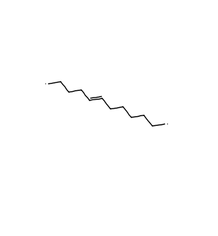 [CH2]CCCC=CCCCCC[CH2]